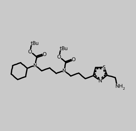 CC(C)(C)OC(=O)N(CCCc1csc(CN)n1)CCCN(C(=O)OC(C)(C)C)C1CCCCC1